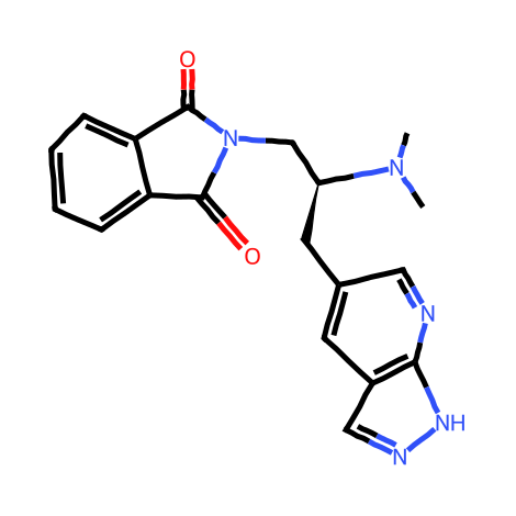 CN(C)[C@@H](Cc1cnc2[nH]ncc2c1)CN1C(=O)c2ccccc2C1=O